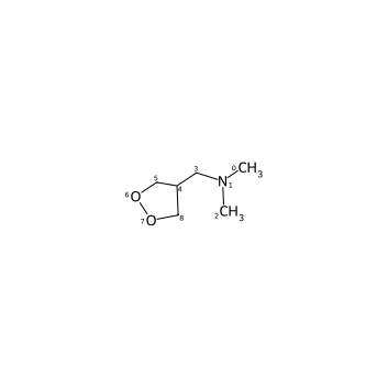 CN(C)CC1COOC1